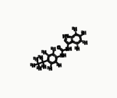 [2H]c1c([2H])c(C([2H])([2H])C([2H])([2H])[2H])c([2H])c([2H])c1NC(=O)Nc1c[nH]c2c([2H])c([2H])c([2H])c([2H])c12